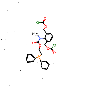 CN(C(=O)OCCP(c1ccccc1)c1ccccc1)c1c(COC(=O)Cl)cccc1COC(=O)Cl